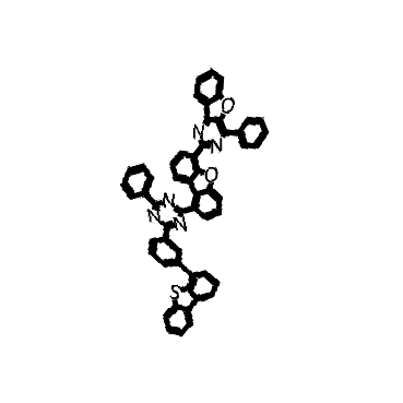 c1ccc(-c2nc(-c3cccc(-c4cccc5c4sc4ccccc45)c3)nc(-c3cccc4oc5c(-c6nc(-c7ccccc7)c7oc8ccccc8c7n6)cccc5c34)n2)cc1